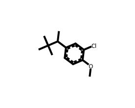 COc1ccc(C(C)C(C)(C)C)cc1Cl